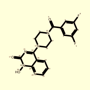 O=C(c1cc(F)cc(F)c1)N1CCN(c2nc(=O)n(O)c3ncccc23)CC1